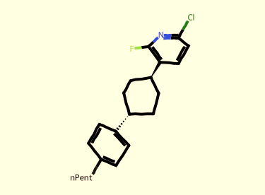 CCCCCc1ccc([C@H]2CC[C@H](c3ccc(Cl)nc3F)CC2)cc1